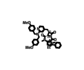 CC[C@@H](NC(=O)N1C(=O)[C@H](Cc2ccnc(N(Cc3ccc(OC)cc3)Cc3ccc(OC)cc3)c2)[C@H]1C(=O)N(C)c1ccn(C)n1)c1ccccc1